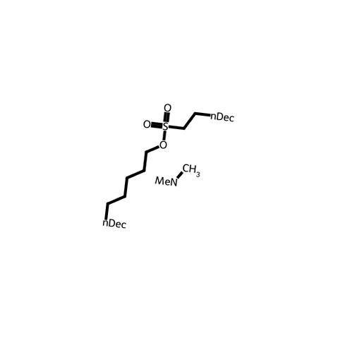 CCCCCCCCCCCCCCCOS(=O)(=O)CCCCCCCCCCCC.CNC